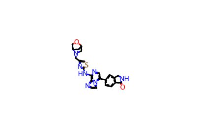 O=C1NCc2cc(-c3cnc(Nc4nc(CN5CC6CC5CO6)cs4)c4nccn34)ccc21